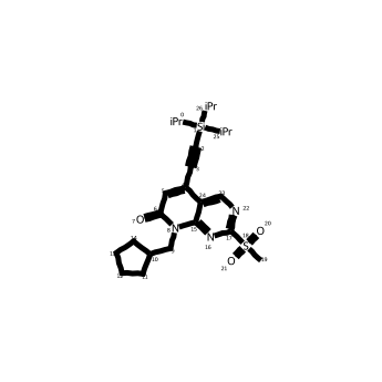 CC(C)[Si](C#Cc1cc(=O)n(CC2CCCC2)c2nc(S(C)(=O)=O)ncc12)(C(C)C)C(C)C